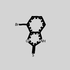 S=c1[nH]c2cccc(Br)c2o1